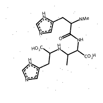 CNC(Cc1cnc[nH]1)C(=O)NC(C(=O)O)C(C)NC(Cc1cnc[nH]1)C(=O)O